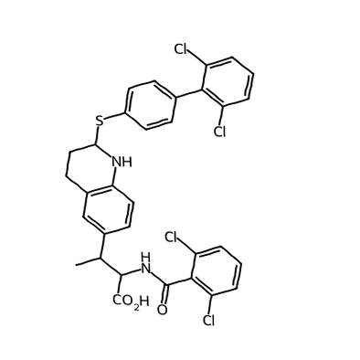 CC(c1ccc2c(c1)CCC(Sc1ccc(-c3c(Cl)cccc3Cl)cc1)N2)C(NC(=O)c1c(Cl)cccc1Cl)C(=O)O